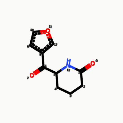 O=C1CCCC(C(=O)c2ccoc2)N1